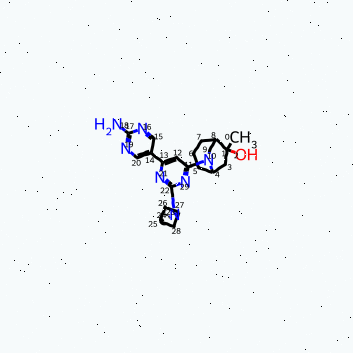 CC1(O)CC2CCCC1CN2c1cc(-c2cnc(N)nc2)nc(N2CC3CC2C3)n1